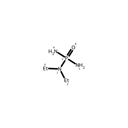 CCN(CC)P(N)(N)=O